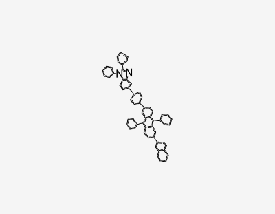 c1ccc(-c2c3ccc(-c4ccc5ccccc5c4)cc3c(-c3ccccc3)c3ccc(-c4ccc(-c5ccc6c(c5)nc(-c5ccccc5)n6-c5ccccc5)cc4)cc23)cc1